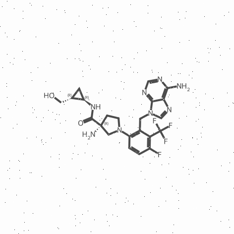 Nc1ncnc2c1ncn2Cc1c(N2CC[C@](N)(C(=O)N[C@@H]3C[C@H]3CO)C2)ccc(F)c1C(F)(F)F